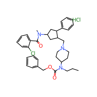 CCCN(C(=O)OCc1ccccc1)C1CCN(CC2CC(N(C)C(=O)c3ccccc3Cl)CC2c2ccccc2)CC1.Cl